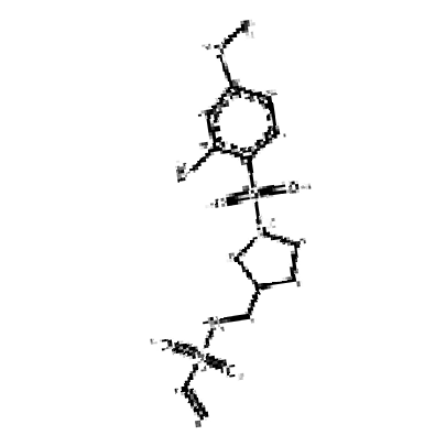 C=CS(=O)(=O)NCC1CCN(S(=O)(=O)c2ccc(OC(C)C)cc2Br)C1